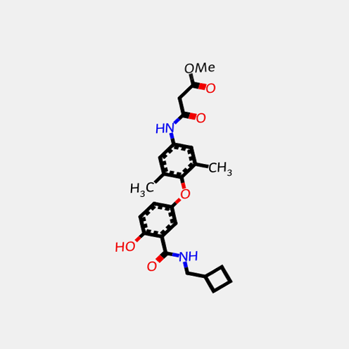 COC(=O)CC(=O)Nc1cc(C)c(Oc2ccc(O)c(C(=O)NCC3CCC3)c2)c(C)c1